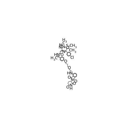 Cc1sc2c(c1C)C(c1ccc(Cl)cc1)=N[C@@H](CC(=O)N[C@@H](C)c1ccc(OCCCOCCNc3cccc4c3C(=O)N(C3CCC(=O)NC3=O)C4=O)cc1)c1nnc(C)n1-2